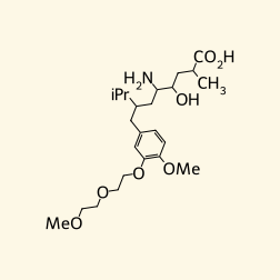 COCCOCCOc1cc(CC(CC(N)C(O)CC(C)C(=O)O)C(C)C)ccc1OC